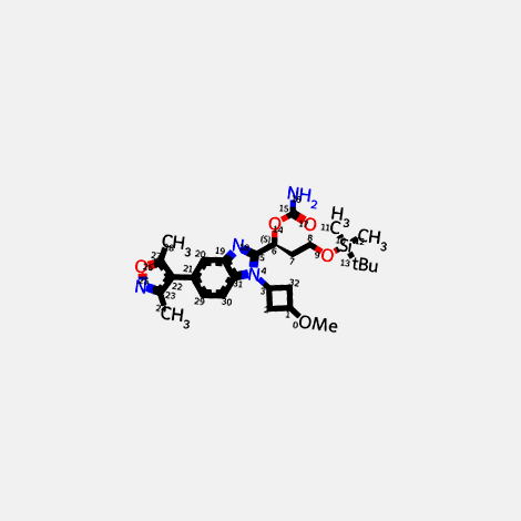 COC1CC(n2c([C@H](CCO[Si](C)(C)C(C)(C)C)OC(N)=O)nc3cc(-c4c(C)noc4C)ccc32)C1